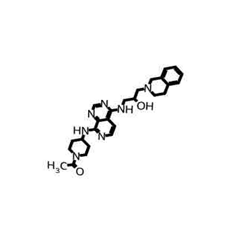 CC(=O)N1CCC(Nc2nccc3c(NCC(O)CN4CCc5ccccc5C4)ncnc23)CC1